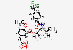 COc1ccc(CC(=O)O)cc1OCC(C)c1oc(-c2ccc(C(F)(F)F)cc2)nc1C(C)C